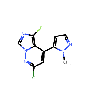 Cn1nccc1-c1cc(Cl)nn2cnc(F)c12